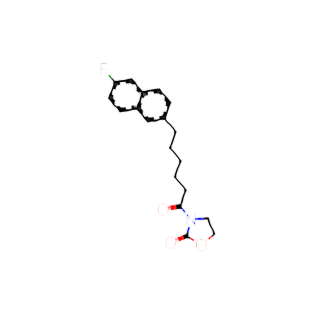 O=C(CCCCCc1ccc2cc(F)ccc2c1)N1CCOC1=O